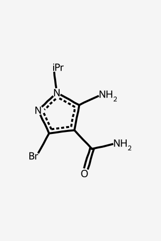 CC(C)n1nc(Br)c(C(N)=O)c1N